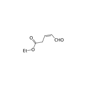 CCOC(=O)C/C=C\C=O